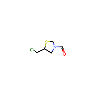 O=CN1CSC(CCl)C1